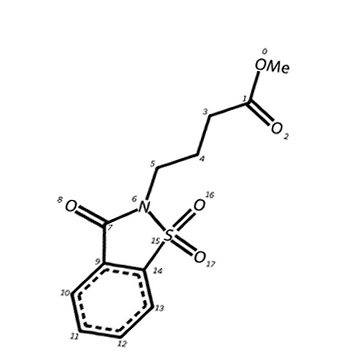 COC(=O)CCCN1C(=O)c2ccccc2S1(=O)=O